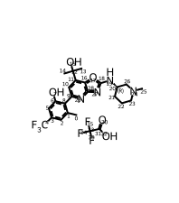 Cc1cc(C(F)(F)F)cc(O)c1-c1cc(C(C)(C)O)c2oc(N[C@@H]3CCCN(C)C3)nc2n1.O=C(O)C(F)(F)F